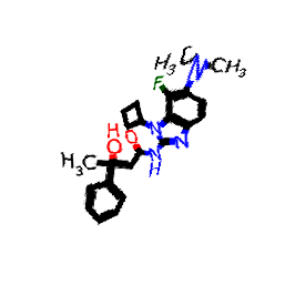 CN(C)c1ccc2nc(NC(=O)CC(C)(O)c3ccccc3)n(C3CCC3)c2c1F